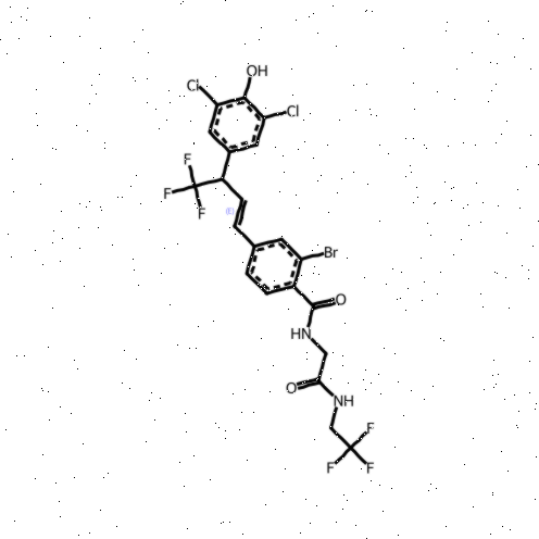 O=C(CNC(=O)c1ccc(/C=C/C(c2cc(Cl)c(O)c(Cl)c2)C(F)(F)F)cc1Br)NCC(F)(F)F